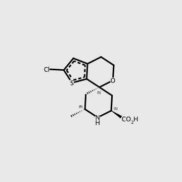 C[C@@H]1C[C@@]2(C[C@@H](C(=O)O)N1)OCCc1cc(Cl)sc12